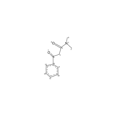 CN(C)C(=O)CC(=O)c1ccccc1